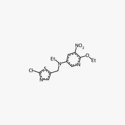 CCOc1ncc(N(CC)Cc2cnc(Cl)s2)cc1[N+](=O)[O-]